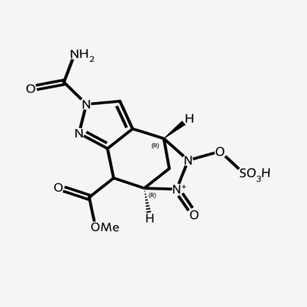 COC(=O)C1c2nn(C(N)=O)cc2[C@H]2C[C@H]1[N+](=O)N2OS(=O)(=O)O